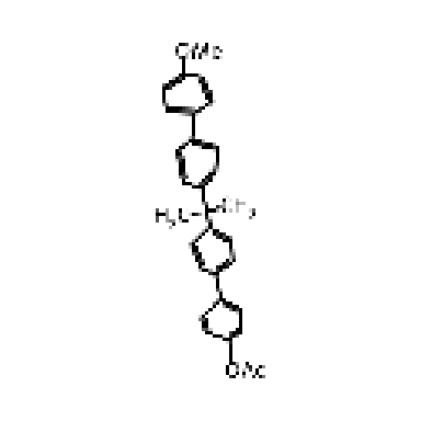 COc1ccc(-c2ccc(C(C)(C)c3ccc(-c4ccc(OC(C)=O)cc4)cc3)cc2)cc1